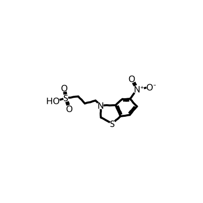 O=[N+]([O-])c1ccc2c(c1)N(CCCS(=O)(=O)O)CS2